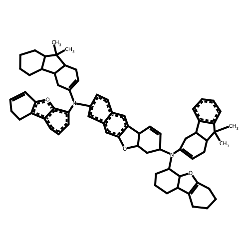 CC1(C)c2ccccc2C2CC(N(C3C=CC4c5cc6ccc(N(C7=CCC8C(C7)C7CCCCC7C8(C)C)c7cccc8c9c(oc78)C=CCC9)cc6cc5OC4C3)C3CCCC4C5=C(CCCC5)OC43)=CCC21